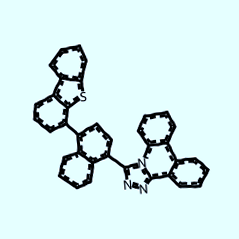 c1ccc2c(c1)sc1c(-c3ccc(-c4nnc5c6ccccc6c6ccccc6n45)c4ccccc34)cccc12